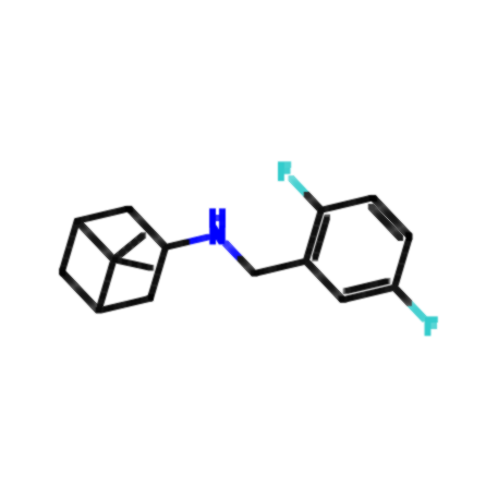 CC1(C)C2CC(NCc3cc(F)ccc3F)CC1C2